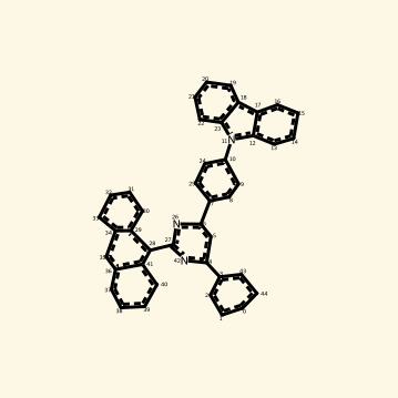 c1ccc(-c2cc(-c3ccc(-n4c5ccccc5c5ccccc54)cc3)nc(-c3c4ccccc4cc4ccccc34)n2)cc1